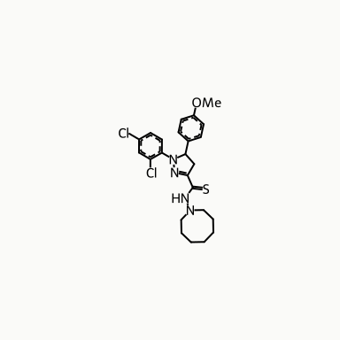 COc1ccc(C2CC(C(=S)NN3CCCCCCC3)=NN2c2ccc(Cl)cc2Cl)cc1